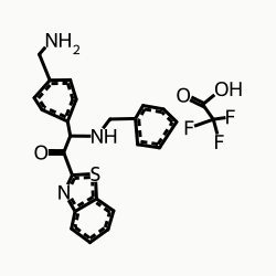 NCc1ccc(C(NCc2ccccc2)C(=O)c2nc3ccccc3s2)cc1.O=C(O)C(F)(F)F